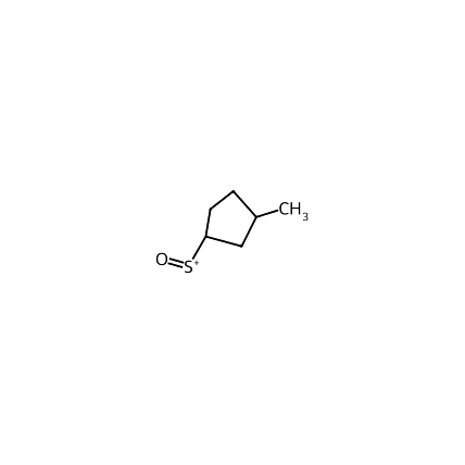 CC1CCC([S+]=O)C1